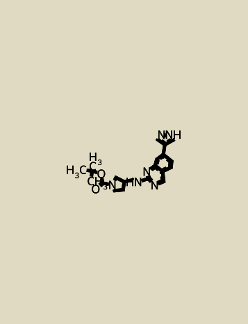 CC(C)(C)OC(=O)N1CCC(CNc2ncc3ccc(-c4cn[nH]c4)cc3n2)C1